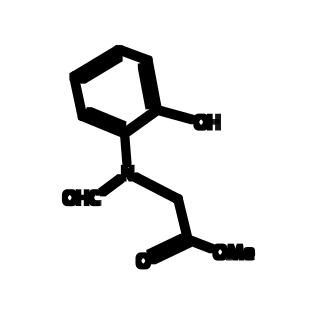 COC(=O)CN(C=O)c1ccccc1O